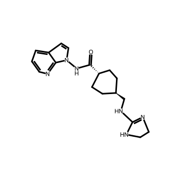 O=C(Nn1ccc2cccnc21)[C@H]1CC[C@H](CNC2=NCCN2)CC1